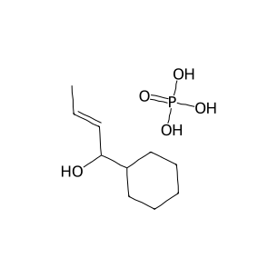 CC=CC(O)C1CCCCC1.O=P(O)(O)O